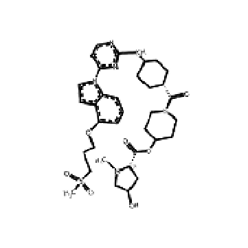 CN1CC(O)C[C@H]1C(=O)OC1CCN(C(=O)[C@H]2CC[C@H](Nc3nccc(-n4ccc5c(OCCCS(C)(=O)=O)cccc54)n3)CC2)CC1